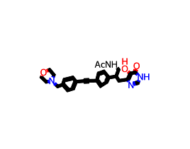 CC(=O)NCC(Cc1nc[nH]c(=O)c1O)c1ccc(C#Cc2ccc(CN3CCOCC3)cc2)cc1